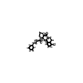 O=C1[C@H]2CCCN(C(=O)NCCc3ccccc3)[C@H]2C[C@H]2c3cccc(Cl)c3CCN12